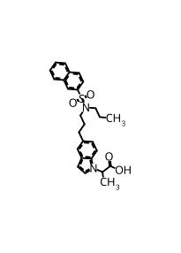 CCCN(CCCc1ccc2c(ccn2C(C)C(=O)O)c1)S(=O)(=O)c1ccc2ccccc2c1